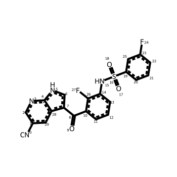 [C-]#[N+]c1cnc2[nH]cc(C(=O)c3cccc(NS(=O)(=O)c4cccc(F)c4)c3F)c2c1